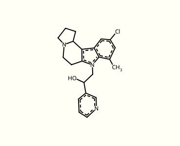 Cc1cc(Cl)cc2c3c(n(CC(O)c4cccnc4)c12)CCN1CCCC31